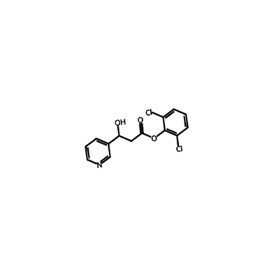 O=C(CC(O)c1cccnc1)Oc1c(Cl)cccc1Cl